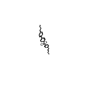 CCCCCc1ccc(C(=O)Oc2ccc(-c3ccc(CCCC)cc3)cc2)cc1